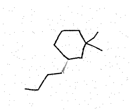 CCC[CH][C@@H]1CCCC(C)(C)C1